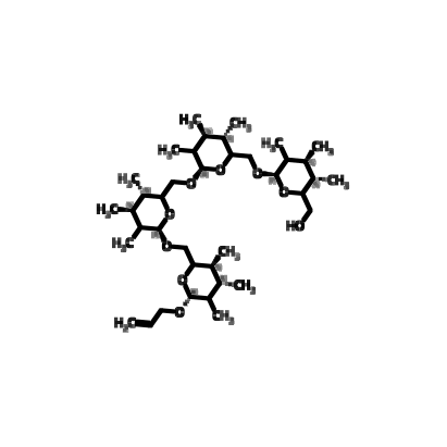 C=CCO[C@@H]1OC(CO[C@@H]2OC(CO[C@@H]3OC(CO[C@@H]4OC(CO)[C@@H](C)[C@H](C)C4C)[C@@H](C)[C@H](C)C3C)[C@@H](C)[C@H](C)C2C)[C@@H](C)[C@H](C)C1C